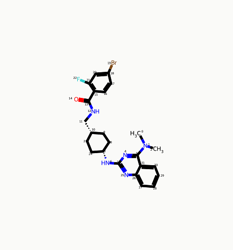 CN(C)c1nc(N[C@H]2CC[C@@H](CNC(=O)c3ccc(Br)cc3F)CC2)nc2ccccc12